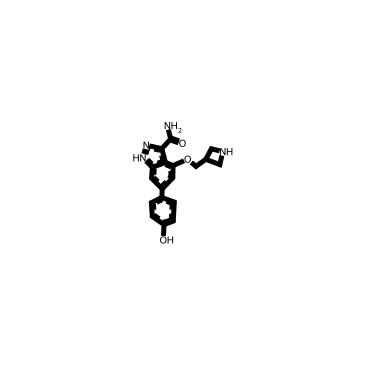 NC(=O)c1n[nH]c2cc(-c3ccc(O)cc3)cc(OCC3CNC3)c12